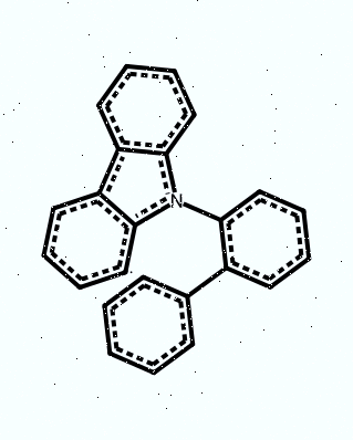 [c]1cccc2c3ccccc3n(-c3ccccc3-c3ccccc3)c12